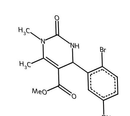 COC(=O)C1=C(C)N(C)C(=O)NC1c1cc(O)ccc1Br